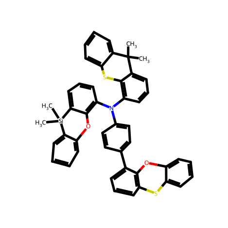 CC1(C)c2ccccc2Sc2c(N(c3ccc(-c4cccc5c4Oc4ccccc4S5)cc3)c3cccc4c3Oc3ccccc3[Si]4(C)C)cccc21